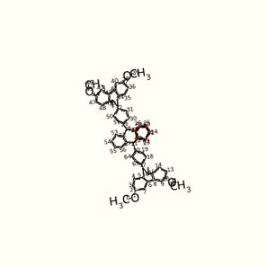 COc1ccc2c(c1)c1cc(OC)ccc1n2-c1ccc(C23c4ccccc4C(c4ccc(-n5c6ccc(OC)cc6c6cc(OC)ccc65)cc4)(c4ccccc42)c2ccccc23)cc1